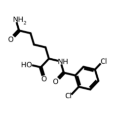 NC(=O)CCCC(NC(=O)c1cc(Cl)ccc1Cl)C(=O)O